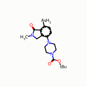 CN1Cc2c(N3CCN(C(=O)OC(C)(C)C)CC3)ccc([AsH2])c2C1=O